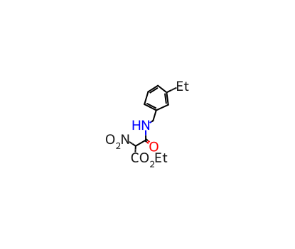 CCOC(=O)C(C(=O)NCc1cccc(CC)c1)[N+](=O)[O-]